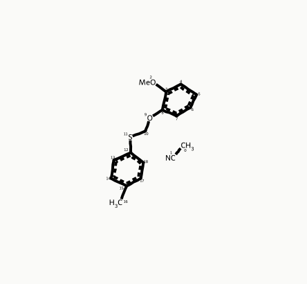 CC#N.COc1ccccc1OCSc1ccc(C)cc1